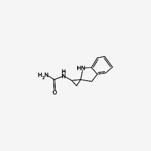 NC(=O)NC1CC12Cc1ccccc1N2